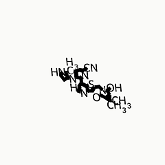 Cc1cc(C#N)nc(-c2ccnc3cc(CN4C(=O)C5C(C4O)C5(C)C)sc23)c1NC1CCNC1